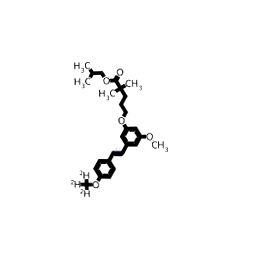 [2H]C([2H])([2H])Oc1ccc(/C=C/c2cc(OC)cc(OCCCC(C)(C)C(=O)OCC(C)C)c2)cc1